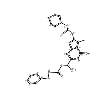 Cc1c(NC(=O)Nc2ccccc2)sc2nc(C(N)CC(=O)OCc3ccccc3)oc(=O)c12